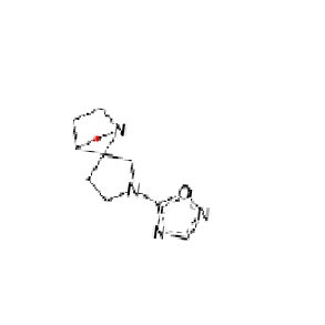 c1noc(N2CCC3(C2)C2CCN3CC2)n1